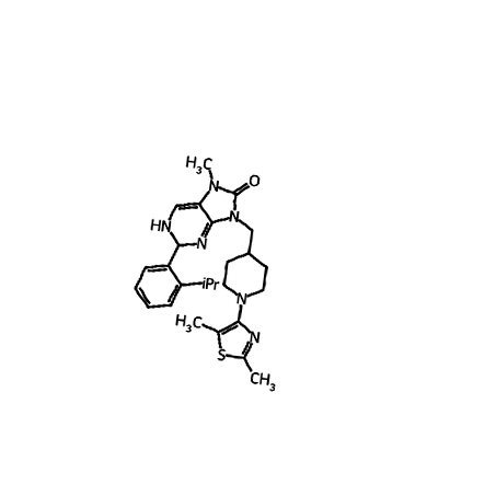 Cc1nc(N2CCC(Cn3c4c(n(C)c3=O)=CNC(c3ccccc3C(C)C)N=4)CC2)c(C)s1